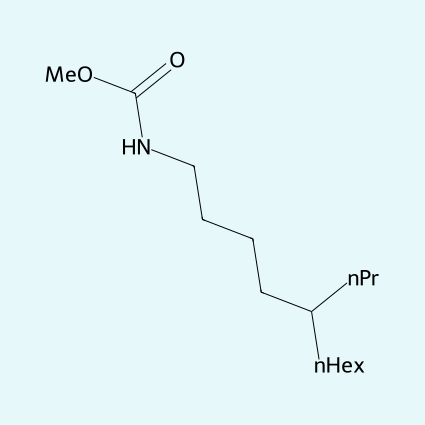 CCCCCCC(CCC)CCCCNC(=O)OC